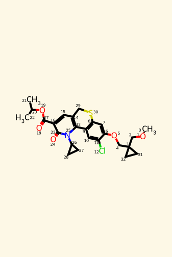 COCC1(COc2cc3c(cc2Cl)-c2c(cc(C(=O)OC(C)C)c(=O)n2C2CC2)CS3)CC1